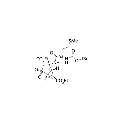 CCOC(=O)[C@@H]1[C@@H]2[C@H]1S(=O)(=O)C[C@@]2(NC(=O)[C@H](CCSC)NC(=O)OC(C)(C)C)C(=O)OCC